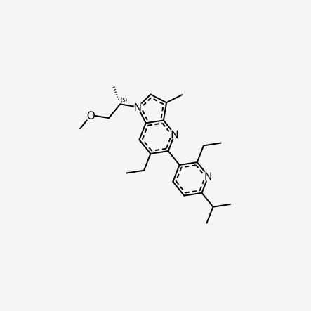 CCc1cc2c(nc1-c1ccc(C(C)C)nc1CC)c(C)cn2[C@@H](C)COC